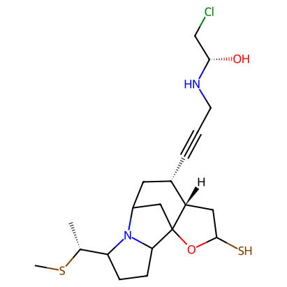 CS[C@H](C)C1CCC2N1C1C[C@H](C#CCN[C@@H](O)CCl)[C@@H]3CC(S)OC23C1